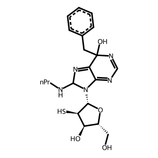 CCCNC1N=C2C(=NC=NC2(O)Cc2ccccc2)N1[C@@H]1O[C@H](CO)[C@@H](O)[C@H]1S